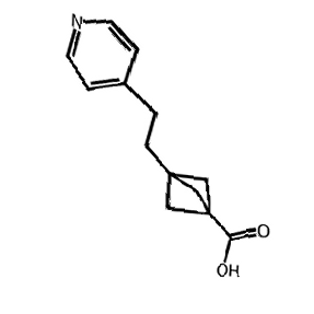 O=C(O)C12CC(CCc3ccncc3)(C1)C2